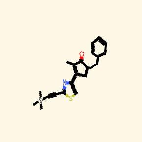 CC1=C(c2csc(C#C[Si](C)(C)C)n2)CC(Cc2ccccc2)C1=O